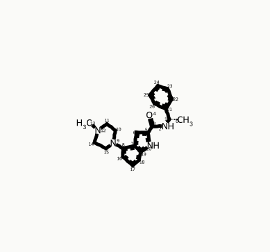 C[C@H](NC(=O)c1cc2c(N3CCN(C)CC3)cccc2[nH]1)c1ccccc1